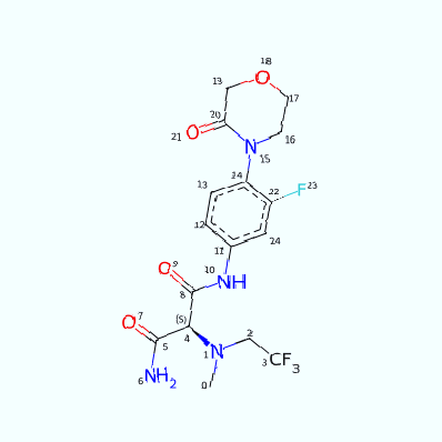 CN(CC(F)(F)F)[C@@H](C(N)=O)C(=O)Nc1ccc(N2CCOCC2=O)c(F)c1